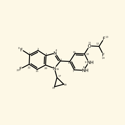 Fc1cc2nc(C3=CNNC(OC(F)F)=C3)n(C3CC3)c2cc1F